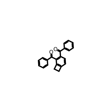 O=C(c1ccccc1)c1ccc2c(c1C(=O)c1ccccc1)CC2